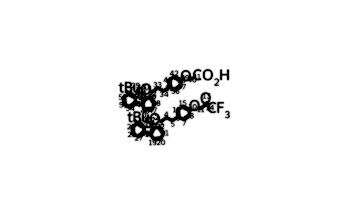 CC(C)(C)[Si](OCCCc1ccc(OCC(=O)C(F)(F)F)cc1)(c1ccccc1)c1ccccc1.CC(C)(C)[Si](OCCCc1ccc(OCC(=O)O)cc1)(c1ccccc1)c1ccccc1